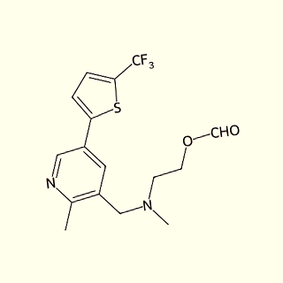 Cc1ncc(-c2ccc(C(F)(F)F)s2)cc1CN(C)CCOC=O